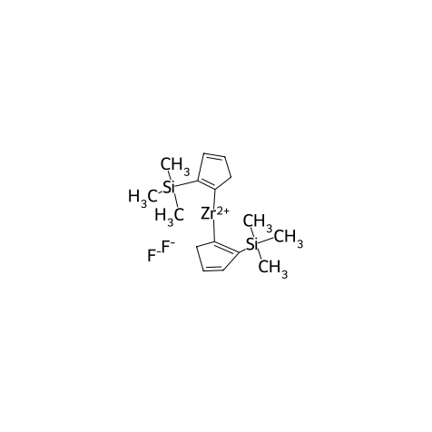 C[Si](C)(C)C1=[C]([Zr+2][C]2=C([Si](C)(C)C)C=CC2)CC=C1.[F-].[F-]